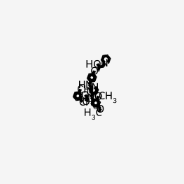 COc1ccc(N(C(=O)Oc2c(C)cccc2C)c2ccnc(Nc3ccc(OCC(O)CN4CCCCC4)cc3)n2)c(OC)c1